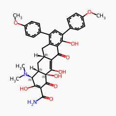 COc1ccc(-c2cc(-c3ccc(OC)cc3)c3c(c2O)C(=O)C2=C(O)[C@]4(O)C(=O)C(C(N)=O)=C(O)[C@@H](N(C)C)[C@@H]4C[C@@H]2C3)cc1